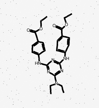 CCOC(=O)c1ccc(Nc2nc(Nc3ccc(C(=O)OCC)cc3)nc(N(CC)CC)n2)cc1